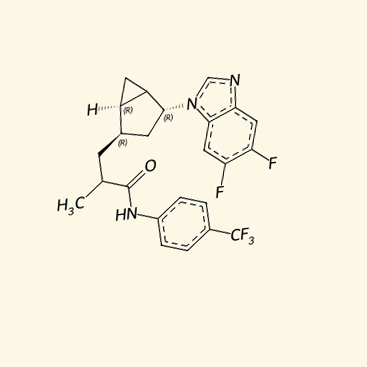 CC(C[C@@H]1C[C@@H](n2cnc3cc(F)c(F)cc32)C2C[C@@H]21)C(=O)Nc1ccc(C(F)(F)F)cc1